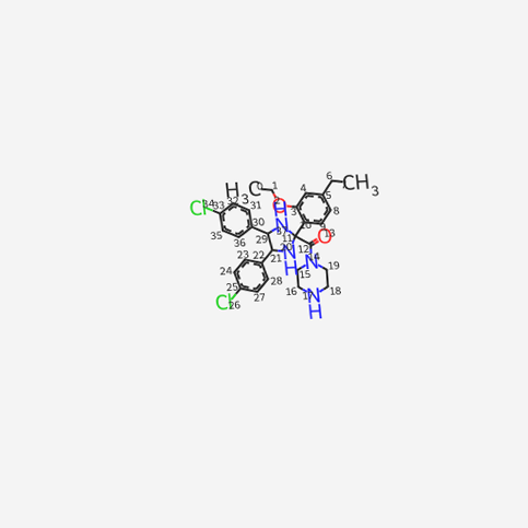 CCOc1cc(CC)ccc1C1(C(=O)N2CCNCC2)NC(c2ccc(Cl)cc2)C(c2ccc(Cl)cc2)N1